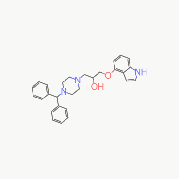 OC(COc1cccc2[nH]ccc12)CN1CCN(C(c2ccccc2)c2ccccc2)CC1